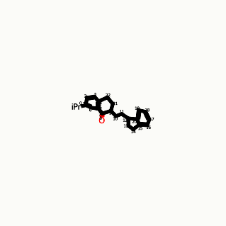 CC(C)c1ccc2c(c1)C(=O)C(CCC1CCc3ccccc31)CC2